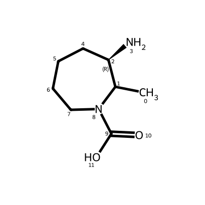 CC1[C@H](N)CCCCN1C(=O)O